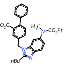 CCCCc1nc2ccc(N(C)C(=O)OCC)cc2n1Cc1ccc(-c2ccccc2)c(C(=O)O)c1